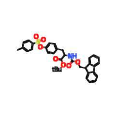 Cc1ccc(S(=O)(=O)Oc2ccc(CC(NC(=O)OCC3c4ccccc4-c4ccccc43)C(=O)OC(C)(C)C)cc2)cc1